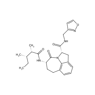 CC[C@H](C)[C@H](C)C(=O)N[C@H]1CCc2cccc3c2N(C1=O)[C@H](C(=O)NCc1ccon1)C3